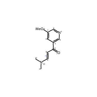 COc1cncc(C(=O)/C=C/N(C)C)c1